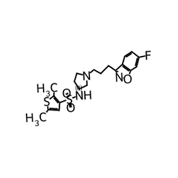 Cc1cc(S(=O)(=O)N[C@@H]2CCN(CCCc3noc4cc(F)ccc34)C2)c(C)s1